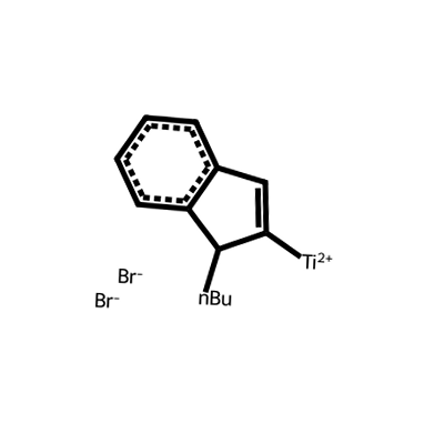 CCCCC1[C]([Ti+2])=Cc2ccccc21.[Br-].[Br-]